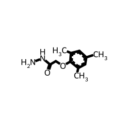 Cc1cc(C)c(OCC(=O)NN)c(C)c1